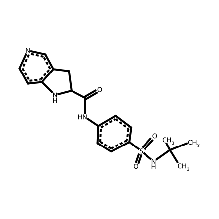 CC(C)(C)NS(=O)(=O)c1ccc(NC(=O)C2Cc3cnccc3N2)cc1